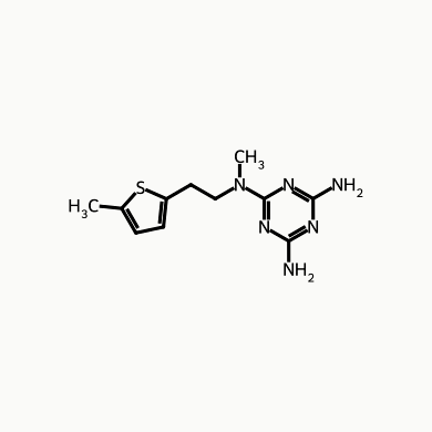 Cc1ccc(CCN(C)c2nc(N)nc(N)n2)s1